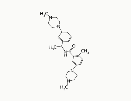 Cc1ccc(N2CCN(C)CC2)cc1C(=O)NC(C)c1cccc(N2CCN(C)CC2)c1